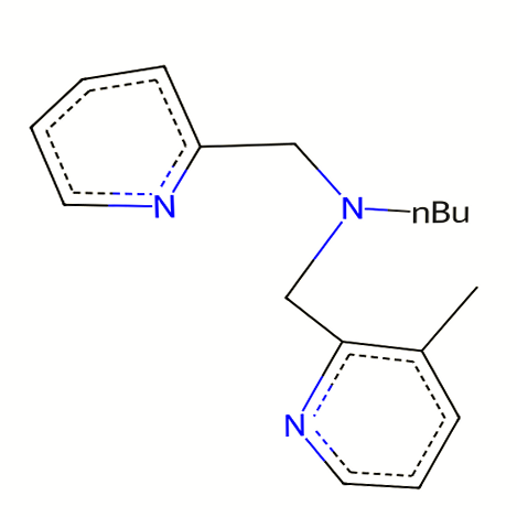 CCCCN(Cc1ccccn1)Cc1ncccc1C